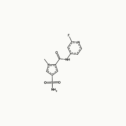 Cn1cc(S(N)(=O)=O)cc1C(=O)Nc1ccnc(F)c1